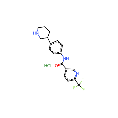 Cl.O=C(Nc1ccc(C2CCCNC2)cc1)c1ccc(C(F)(F)F)nc1